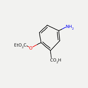 CCOC(=O)Oc1ccc(N)cc1C(=O)O